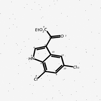 CCOC(=O)C(=O)c1c[nH]c2c(Cl)cc(Cl)cc12